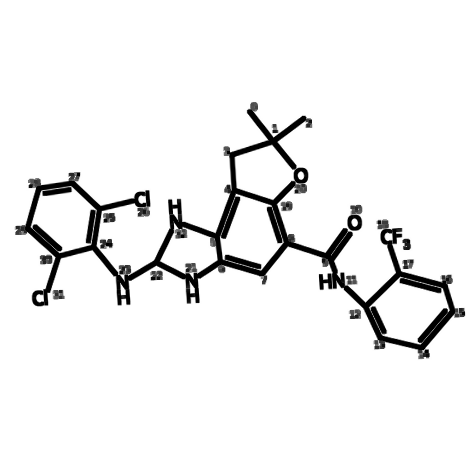 CC1(C)Cc2c3c(cc(C(=O)Nc4ccccc4C(F)(F)F)c2O1)NC(Nc1c(Cl)cccc1Cl)N3